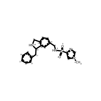 Cn1cnc(S(=O)(=O)NCc2ccc3c(c2)C(Cc2ccccc2)NC3)c1